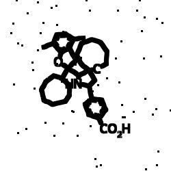 Cc1ccc(C)c2c1CC(C1CCCCCCCC1)(C1NC(c3ccc(C(=O)O)cc3)CC13CCCCCCCC3)O2